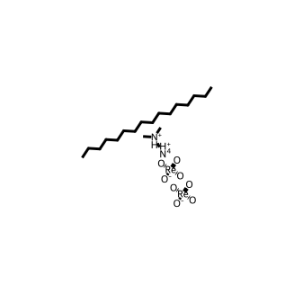 CCCCCCCCCCCCCCCC.C[NH+](C)C.[NH4+].[O]=[Re](=[O])(=[O])[O-].[O]=[Re](=[O])(=[O])[O-]